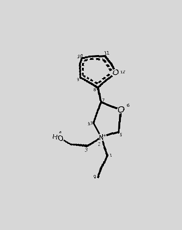 CC[N+]1(CO)COC(c2ccco2)C1